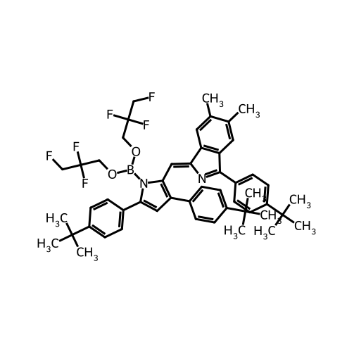 Cc1cc2c(cc1C)/C(=C/c1c(-c3ccc(C(C)(C)C)cc3)cc(-c3ccc(C(C)(C)C)cc3)n1B(OCC(F)(F)CF)OCC(F)(F)CF)N=C2c1ccc(C(C)(C)C)cc1